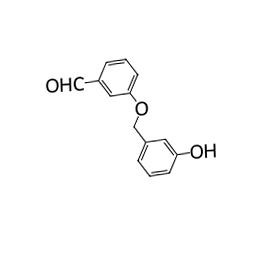 O=Cc1cccc(OCc2cccc(O)c2)c1